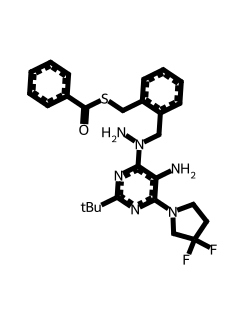 CC(C)(C)c1nc(N(N)Cc2ccccc2CSC(=O)c2ccccc2)c(N)c(N2CCC(F)(F)C2)n1